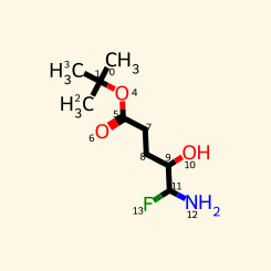 CC(C)(C)OC(=O)CCC(O)C(N)F